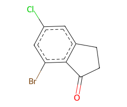 O=C1CCc2cc(Cl)cc(Br)c21